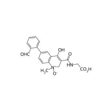 C[N+]1([O-])CC(C(=O)NCC(=O)O)=C(O)c2cc(-c3ccccc3C=O)ccc21